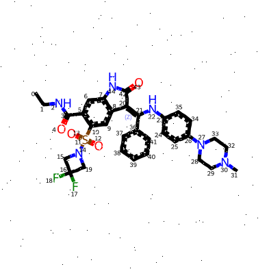 CCNC(=O)c1cc2c(cc1S(=O)(=O)N1CC(F)(F)C1)/C(=C(/Nc1ccc(N3CCN(C)CC3)cc1)c1ccccc1)C(=O)N2